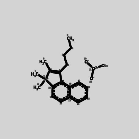 CCCCC1=C(C)[N+](C)(C)c2ccc3ccccc3c21.[O-][Cl+2]([O-])[O-]